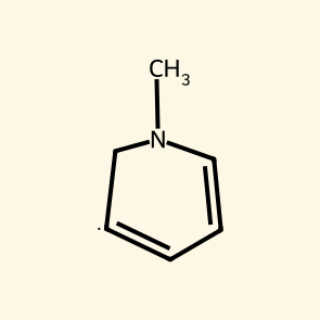 CN1C=CC=[C]C1